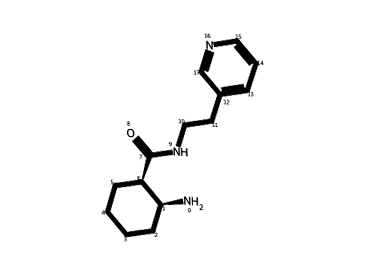 N[C@H]1CCCC[C@H]1C(=O)NCCc1cccnc1